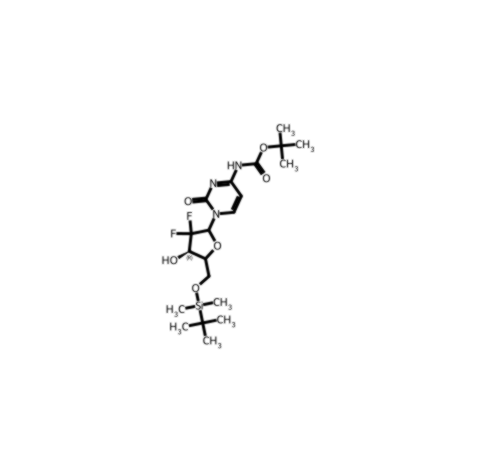 CC(C)(C)OC(=O)Nc1ccn(C2OC(CO[Si](C)(C)C(C)(C)C)[C@@H](O)C2(F)F)c(=O)n1